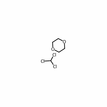 C1COCCO1.ClC(Cl)Cl